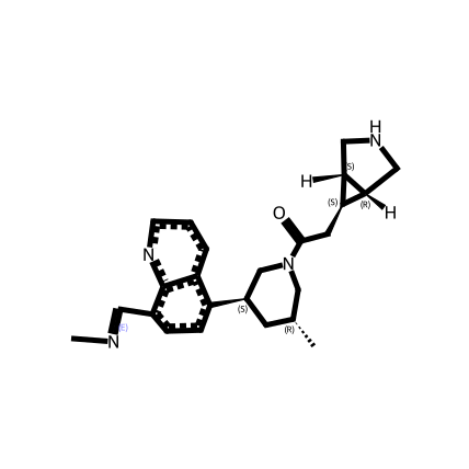 C/N=C/c1ccc([C@@H]2C[C@@H](C)CN(C(=O)C[C@H]3[C@@H]4CNC[C@@H]43)C2)c2cccnc12